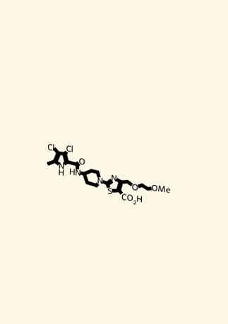 COCCOCc1nc(N2CCC(NC(=O)c3[nH]c(C)c(Cl)c3Cl)CC2)sc1C(=O)O